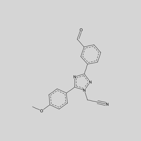 COc1ccc(-c2nc(-c3cccc(C=O)c3)nn2CC#N)cc1